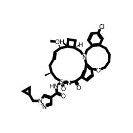 CO[C@H]1/C=C/C[C@H](C)CS(=O)(NC(=O)c2cnn(CC3CC3)c2)=NC(=O)c2ccc3c(c2)N(Cc2ccc(Cl)cc2CCCCO3)C[C@@H]2CC[C@H]21